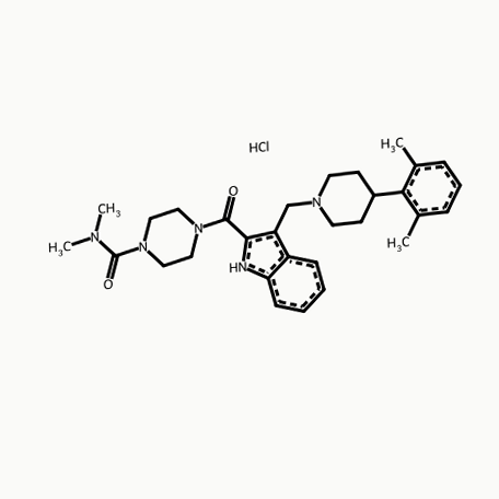 Cc1cccc(C)c1C1CCN(Cc2c(C(=O)N3CCN(C(=O)N(C)C)CC3)[nH]c3ccccc23)CC1.Cl